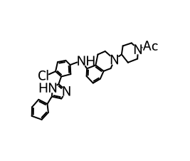 CC(=O)N1CCC(N2CCc3c(cccc3Nc3ccc(Cl)c(-c4ncc(-c5ccccc5)[nH]4)c3)C2)CC1